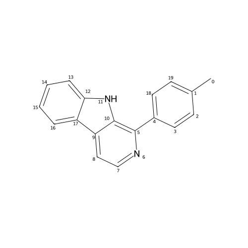 Cc1ccc(-c2nccc3c2[nH]c2ccccc23)cc1